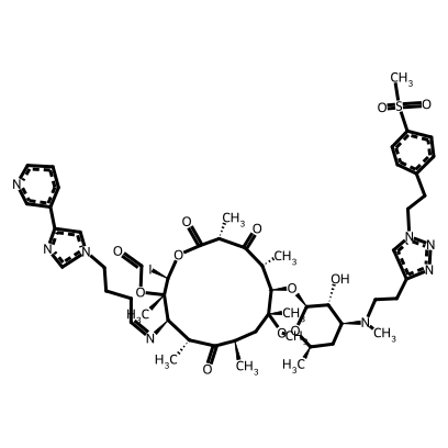 CO[C@]1(C)C[C@@H](C)C(=O)[C@H](C)[C@@H](/N=C\CCCn2cnc(-c3cccnc3)c2)[C@](C)(OC=O)[C@@H](I)OC(=O)[C@H](C)C(=O)[C@H](C)[C@H]1O[C@@H]1O[C@H](C)C[C@H](N(C)CCc2cn(CCc3ccc(S(C)(=O)=O)cc3)nn2)[C@H]1O